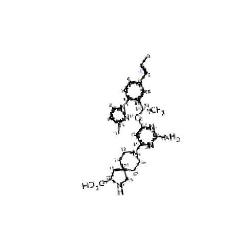 C/C=C/c1ccc(-n2ccc(C)n2)c([C@@H](Oc2cc(N3CCC4(CC3)CNC(C(=O)O)C4)nc(N)n2)C(F)(F)F)c1